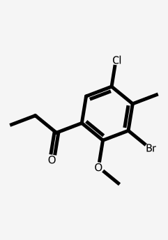 CCC(=O)c1cc(Cl)c(C)c(Br)c1OC